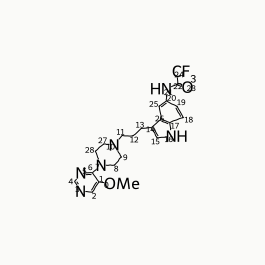 COc1cncnc1N1CCN(CCCc2c[nH]c3ccc(NC(=O)C(F)(F)F)cc23)CC1